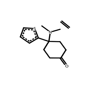 C=C.CN(C)C1(c2cccs2)CCC(=O)CC1